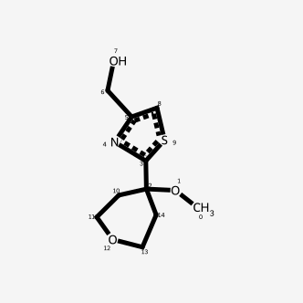 COC1(c2nc(CO)cs2)CCOCC1